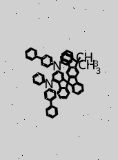 CC1(C)c2ccccc2-c2cc3c(cc21)-c1ccccc1C31c2ccccc2-c2c(N(c3ccccc3)c3ccc(-c4ccccc4)cc3)cc(N(c3ccccc3)c3ccc(-c4ccccc4)cc3)cc21